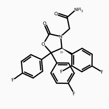 NC(=O)CN1C(=O)OC(c2ccc(F)cc2)(c2ccc(F)cc2)[C@@H]1c1ccc(F)cc1F